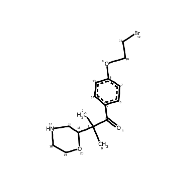 CC(C)(C(=O)c1ccc(OCCBr)cc1)C1CNCCO1